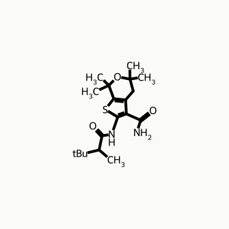 CC(C(=O)Nc1sc2c(c1C(N)=O)CC(C)(C)OC2(C)C)C(C)(C)C